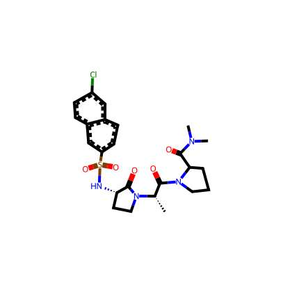 C[C@@H](C(=O)N1CCCC1C(=O)N(C)C)N1CC[C@H](NS(=O)(=O)c2ccc3cc(Cl)ccc3c2)C1=O